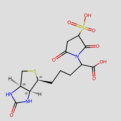 O=C1N[C@H]2[C@H](CS[C@H]2CCCC(C(=O)O)N2C(=O)CC(S(=O)(=O)O)C2=O)N1